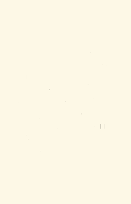 OC(c1ccccc1)(c1ccccc1)C(c1ccccc1)(c1ccccc1)C(O)(c1ccccc1)c1ccccc1